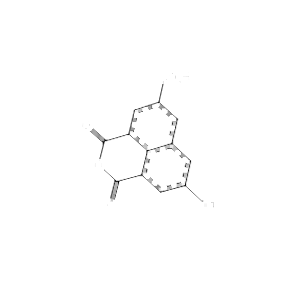 CC(C)c1cc2c3c(cc(S(=O)(=O)O)cc3c1)C(=O)OC2=O